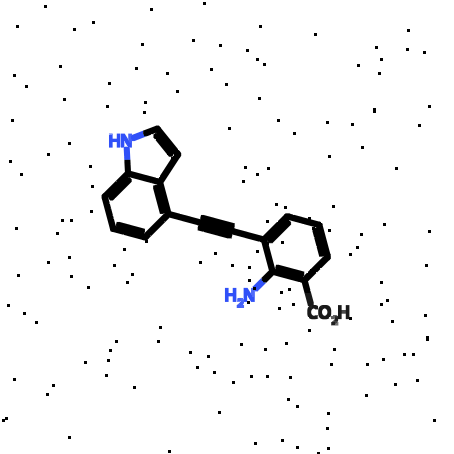 Nc1c(C#Cc2cccc3[nH]ccc23)cccc1C(=O)O